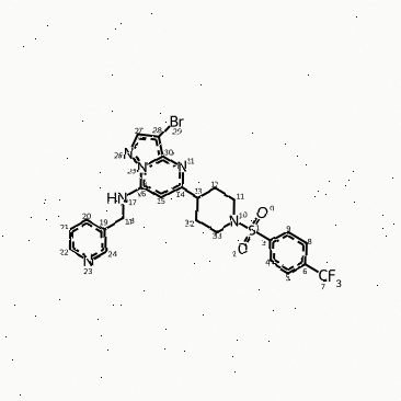 O=S(=O)(c1ccc(C(F)(F)F)cc1)N1CCC(c2cc(NCc3cccnc3)n3ncc(Br)c3n2)CC1